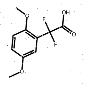 COc1ccc(OC)c(C(F)(F)C(=O)O)c1